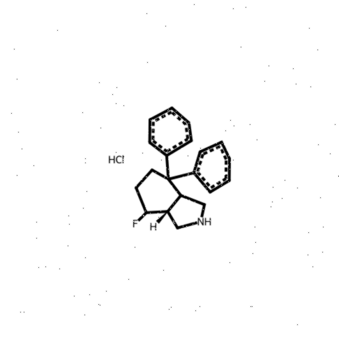 Cl.FC1CCC(c2ccccc2)(c2ccccc2)C2CNC[C@H]12